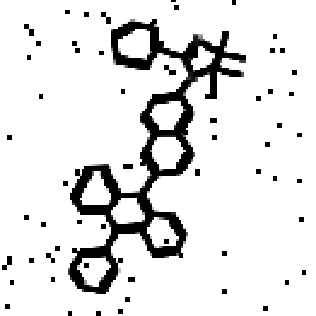 CC1(C)N=C(c2ccccc2)N(c2ccc3cc(-c4c5ccccc5c(-c5ccccc5)c5ccccc45)ccc3c2)C1(C)C